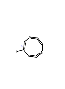 I/C1=C/N=C=CN=C=C1